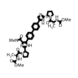 CNC(=O)c1nc(C2CCCN2C(=O)[C@H](C)NC(=O)OC)[nH]c1-c1ccc(-c2ccc(-c3cnc([C@@H]4CCCN4C(=O)[C@@H](C)NC(=O)OC)[nH]3)cc2)cc1